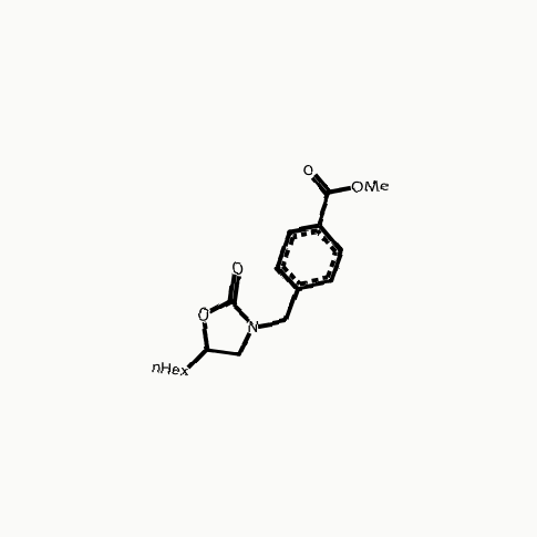 CCCCCCC1CN(Cc2ccc(C(=O)OC)cc2)C(=O)O1